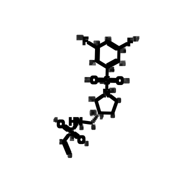 C=CS(=O)(=O)NC[C@H]1CCN(S(=O)(=O)c2cc(F)cc(F)c2)C1